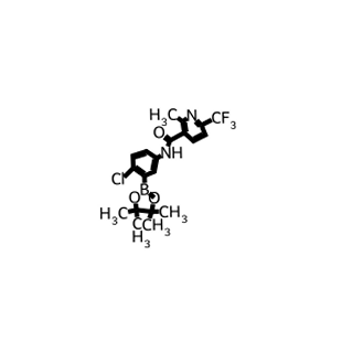 Cc1nc(C(F)(F)F)ccc1C(=O)Nc1ccc(Cl)c(B2OC(C)(C)C(C)(C)O2)c1